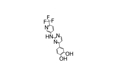 Oc1ccc(-c2ccnc(Nc3ccc(C(F)(F)F)nc3)n2)cc1O